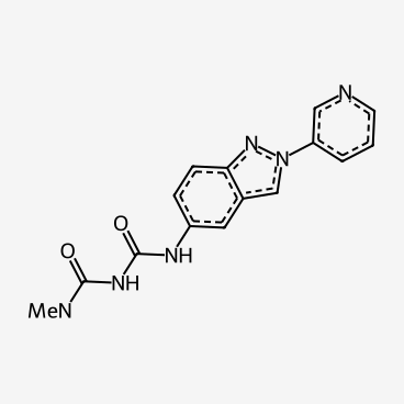 CNC(=O)NC(=O)Nc1ccc2nn(-c3cccnc3)cc2c1